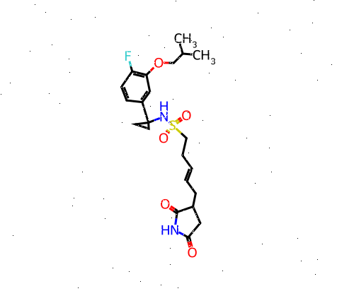 CC(C)COc1cc(C2(NS(=O)(=O)CC/C=C/CC3CC(=O)NC3=O)CC2)ccc1F